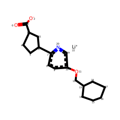 O=C([O-])C1CCC(c2ccc(OCC3CCCCC3)cn2)C1.[Li+]